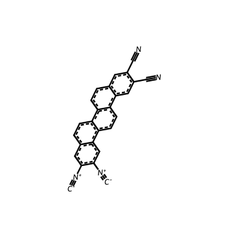 [C-]#[N+]c1cc2ccc3c(ccc4c5cc(C#N)c(C#N)cc5ccc43)c2cc1[N+]#[C-]